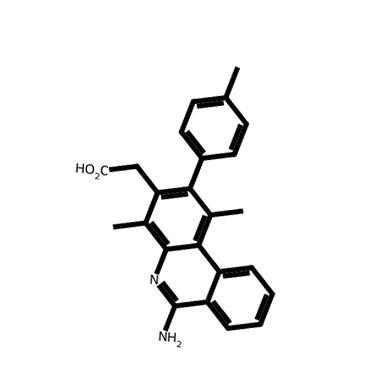 Cc1ccc(-c2c(CC(=O)O)c(C)c3nc(N)c4ccccc4c3c2C)cc1